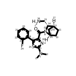 CN(C)c1nc(C(=O)N2[C@@H]3CC[C@@H](C3)[C@H]2CN)c(-c2ccccc2F)s1